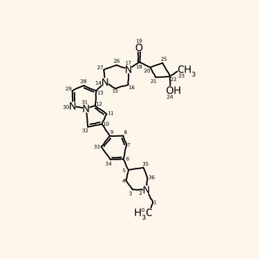 CCN1CCC(c2ccc(-c3cc4c(N5CCN(C(=O)C6CC(C)(O)C6)CC5)ccnn4c3)cc2)CC1